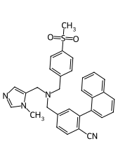 Cn1cncc1CN(Cc1ccc(S(C)(=O)=O)cc1)Cc1ccc(C#N)c(-c2cccc3ccccc23)c1